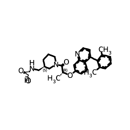 Cc1cccc(C)c1-c1ccnc2cc(O[C@H](C)C(=O)N3CCC[C@H](CN[SH](=O)=O)C3)ccc12